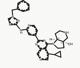 O[C@]12CCN(c3nc(-c4ccnc(Nc5ncn(Cc6ccccc6)n5)c4)nc4cncc(C5CC5)c34)[C@H]1CCNC2